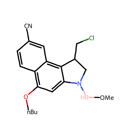 CCCCOc1cc2c(c3cc(C#N)ccc13)C(CCl)CN2BOC